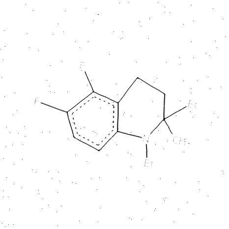 CCN1c2ccc(F)c(F)c2CCC1(C)CC